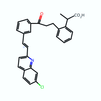 CC(C(=O)O)c1ccccc1CCC(=O)c1cccc(/C=C/c2ccc3ccc(Cl)cc3n2)c1